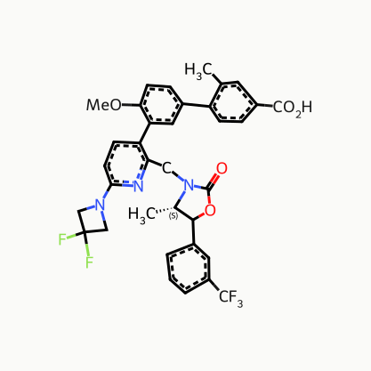 COc1ccc(-c2ccc(C(=O)O)cc2C)cc1-c1ccc(N2CC(F)(F)C2)nc1CN1C(=O)OC(c2cccc(C(F)(F)F)c2)[C@@H]1C